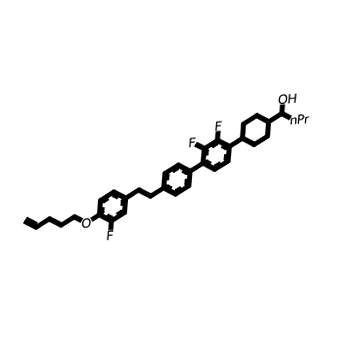 C=CCCCOc1ccc(CCc2ccc(-c3ccc(C4CCC(C(O)CCC)CC4)c(F)c3F)cc2)cc1F